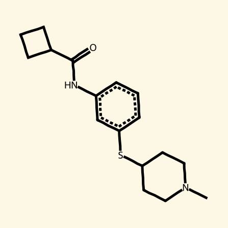 CN1CCC(Sc2cccc(NC(=O)C3CCC3)c2)CC1